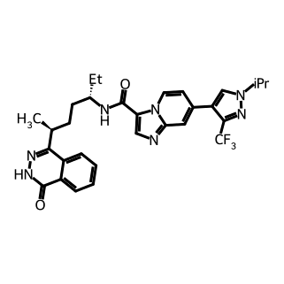 CC[C@@H](CC[C@H](C)c1n[nH]c(=O)c2ccccc12)NC(=O)c1cnc2cc(-c3cn(C(C)C)nc3C(F)(F)F)ccn12